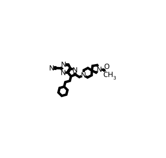 CC(=O)N1CCC2(CCN(CC3=Nc4cnc(C#N)nc4C3CCC3CCCCC3)CC2)C1